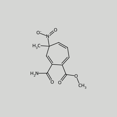 COC(=O)C1=CC=CC(C)([N+](=O)[O-])C=C1C(N)=O